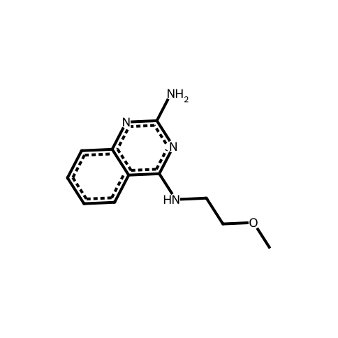 COCCNc1nc(N)nc2ccccc12